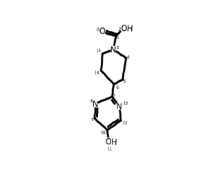 O=C(O)N1CCC(c2ncc(O)cn2)CC1